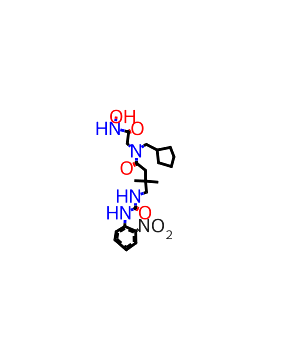 CC(C)(CNC(=O)Nc1ccccc1[N+](=O)[O-])CC(=O)N(CC(=O)NO)CC1CCCC1